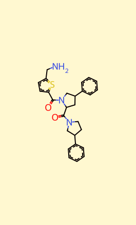 NCc1ccc(C(=O)N2CC(c3ccccc3)CC2C(=O)N2CCC(c3ccccc3)C2)s1